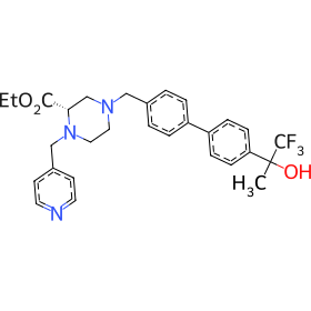 CCOC(=O)[C@@H]1CN(Cc2ccc(-c3ccc(C(C)(O)C(F)(F)F)cc3)cc2)CCN1Cc1ccncc1